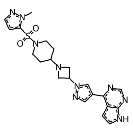 Cn1nccc1S(=O)(=O)N1CCC(N2CC(n3cc(-c4ncnc5[nH]ccc45)cn3)C2)CC1